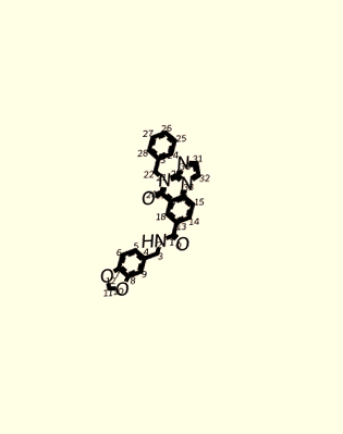 O=C(NCc1ccc2c(c1)OCO2)c1ccc2c(c1)c(=O)n(Cc1ccccc1)c1nccn21